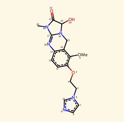 COc1c(OCCn2ccnc2)ccc2c1CN1C(=N2)N(C)C(=O)C1O